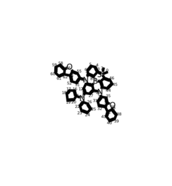 C[Si]1(C)c2cccc3c2B2c4c(cc(N(c5ccccc5)c5ccccc5)cc4N(c4ccc5c(c4)oc4ccccc45)c4cccc1c42)N3c1ccc2c(c1)oc1ccccc12